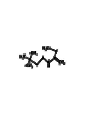 C=C(CC)NCCC(C)(C)C